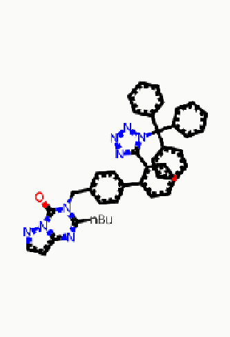 CCCCc1nc2ccnn2c(=O)n1Cc1ccc(-c2ccccc2-c2nnnn2C(c2ccccc2)(c2ccccc2)c2ccccc2)cc1